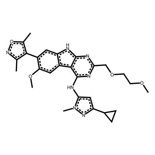 COCCOCc1nc(Nc2cc(C3CC3)nn2C)c2c(n1)[nH]c1cc(-c3c(C)noc3C)c(OC)cc12